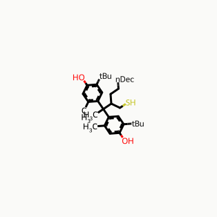 CCCCCCCCCCCCC(CS)C(C)(c1cc(C(C)(C)C)c(O)cc1C)c1cc(C(C)(C)C)c(O)cc1C